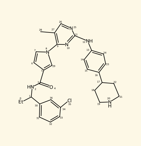 CCC(NC(=O)c1ccn(-c2nc(Nc3ccc(C4CCNCC4)cc3)ncc2C)c1)c1cccc(Cl)c1